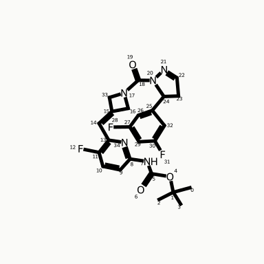 CC(C)(C)OC(=O)Nc1ccc(F)c(C=C2CN(C(=O)N3N=CCC3c3cc(F)cc(F)c3)C2)n1